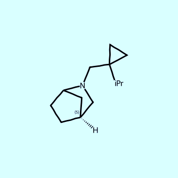 CC(C)C1(CN2C[C@H]3CCC2C3)CC1